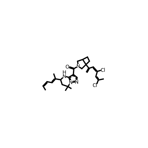 C=C(/C=C(Cl)\C=C(/C)Cl)C12CCC1CN(C(=O)c1cnn3c1NC(/C(C)=C/C=C\C)CC3(C)C)C2